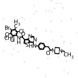 CCN1CCN(C(=O)Cc2ccc(Nc3ncnc4c(C(=O)Nc5c(Cl)c(C)c(Br)c(OC)c5Cl)csc34)cc2)CC1